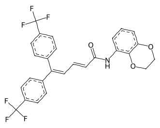 O=C(C=CC=C(c1ccc(C(F)(F)F)cc1)c1ccc(C(F)(F)F)cc1)Nc1cccc2c1OCCO2